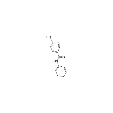 O=C(Nc1ccccc1)c1ccc(O)cc1